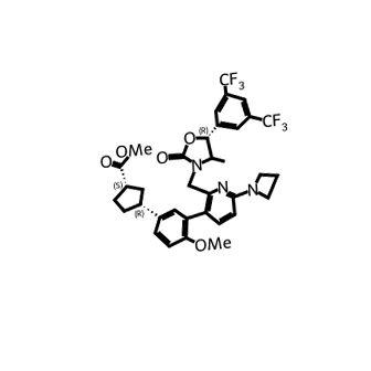 COC(=O)[C@H]1CC[C@@H](c2ccc(OC)c(-c3ccc(N4CCC4)nc3CN3C(=O)O[C@H](c4cc(C(F)(F)F)cc(C(F)(F)F)c4)C3C)c2)C1